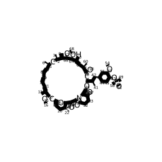 C=C1[C@H](C)C[C@H](C)/C=C/C=C/C=C(\C)[C@@H](OC)C[C@@H]2CC[C@@H](C)[C@@](O)(O2)C(=O)C(=O)N2CCCC[C@H]2C(=O)O[C@H]([C@H](C)C[C@@H]2CC[C@@H](OP(C)(C)=O)[C@H](OC)C2)CC(=O)[C@H](C)/C=C(\C)[C@@H](O)[C@H]1OC